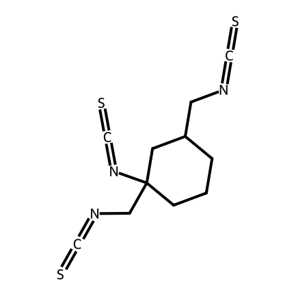 S=C=NCC1CCCC(CN=C=S)(N=C=S)C1